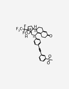 C[C@]12C[C@H](c3ccc(C#Cc4cccc(S(C)(=O)=O)c4)cc3)C3=C4CCC(=O)C=C4CC[C@H]3[C@@H]1CC[C@@]2(O)C(F)(F)C(F)(F)F